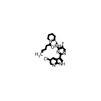 C=CCCC(=O)N1CCCC[C@@H]1CNc1nc(-c2c[nH]c3c2=CC(Cl)CN=3)ncc1F